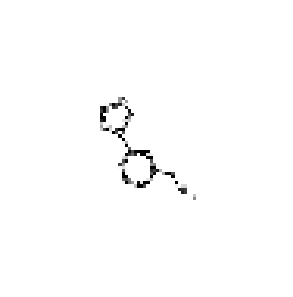 NCc1cccc(-c2n[c]on2)c1